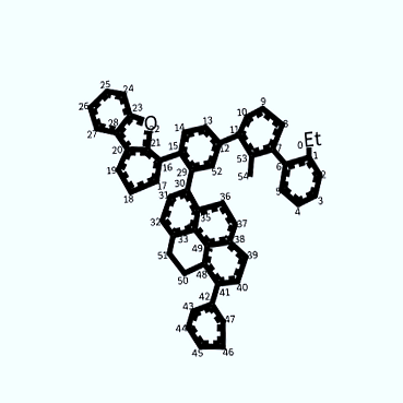 CCc1ccccc1-c1cccc(-c2ccc(-c3cccc4c3oc3ccccc34)c(-c3ccc4c5c3ccc3ccc(-c6ccccc6)c(c35)CC4)c2)c1C